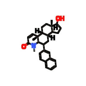 CN1C(=O)C=C[C@@]2(C)C1C(c1ccc3ccccc3c1)C[C@@H]1[C@H]2CC[C@]2(C)C(O)CC[C@@H]12